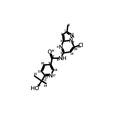 Cc1cc2nc(NC(=O)c3ccc(C(C)(C)O)nc3)cc(Cl)n2n1